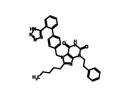 CCCCCc1nc2c(c(=O)[nH]c(=O)n2CCc2ccccc2)n1Cc1ccc(-c2ccccc2-c2nnn[nH]2)cc1